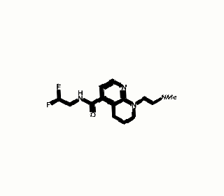 CNCCN1CCCc2c(C(=O)NCC(F)F)ccnc21